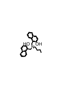 CCCCN(Cc1c(O)ccc2ccccc12)Cc1c(O)ccc2ccccc12